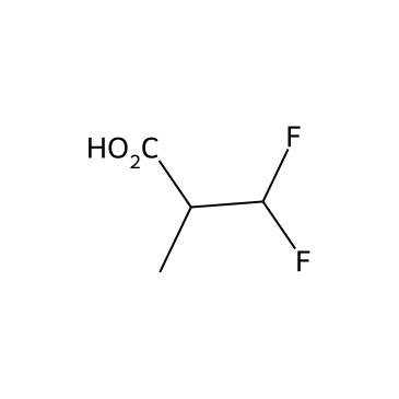 CC(C(=O)O)C(F)F